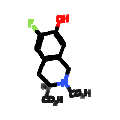 O=C(O)[C@@H]1Cc2cc(F)c(O)cc2CN1C(=O)O